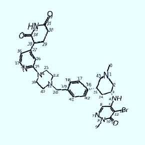 CN1C[C@H](Nc2cnn(C)c(=O)c2Br)C[C@H](c2ccc(CN3CCN(c4cc(C5CCC(=O)NC5=O)ccn4)CC3)cc2)C1